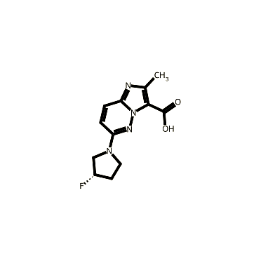 Cc1nc2ccc(N3CC[C@H](F)C3)nn2c1C(=O)O